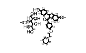 Cl.O=C(c1ccc(OCCN2CCCCC2)cc1)c1c(-c2ccc(O)cc2)sc2cc(O)ccc12.OC[C@@H](O)[C@@H](O)[C@H](O)[C@H](O)CO